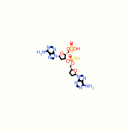 Nc1ncnc2c1ncn2[C@H]1CC[C@@H](CO[P@@](=O)(S)O[C@H]2C[C@H](n3cnc4c(N)ncnc43)O[C@@H]2CO[PH](=O)O)O1